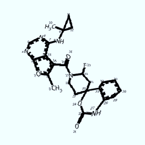 Cc1oc2ncnc(NC3(C)CC3)c2c1C(=O)N1CCC2(CC1F)OC(=O)Nc1ccccc12